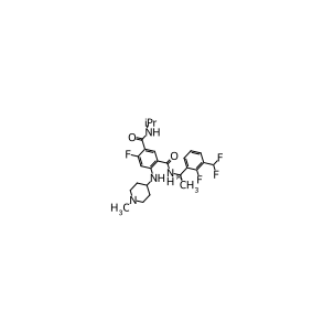 CC(C)NC(=O)c1cc(C(=O)N[C@H](C)c2cccc(C(F)F)c2F)c(NC2CCN(C)CC2)cc1F